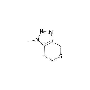 Cn1nnc2c1CCSC2